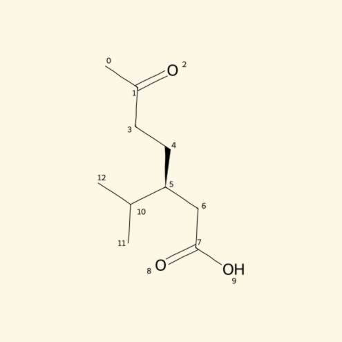 CC(=O)CC[C@@H](CC(=O)O)C(C)C